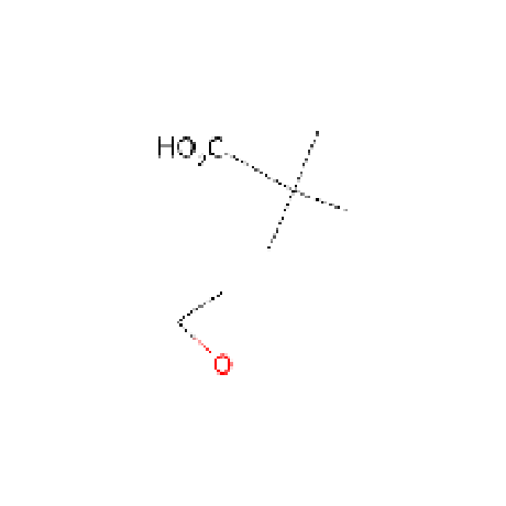 C1CO1.CC(C)(C)C(=O)O